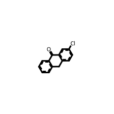 O=C1c2ccccc2Cc2ccc(Cl)cc21